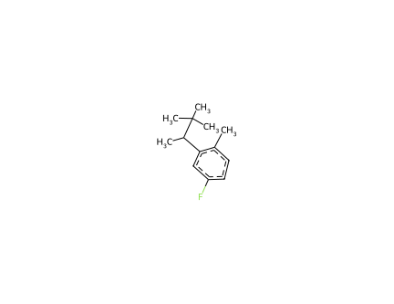 Cc1ccc(F)cc1C(C)C(C)(C)C